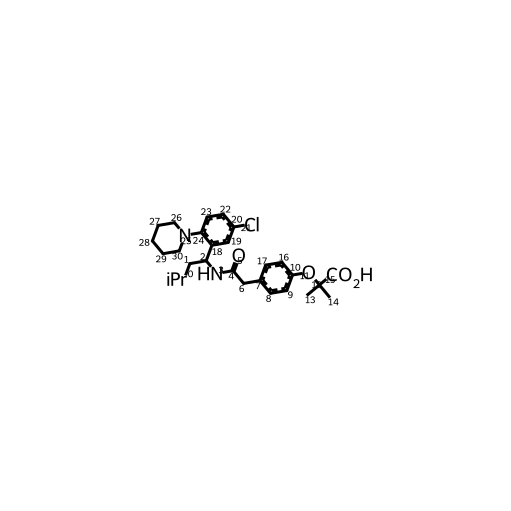 CC(C)CC(NC(=O)Cc1ccc(OC(C)(C)C(=O)O)cc1)c1cc(Cl)ccc1N1CCCCC1